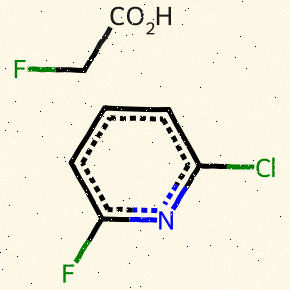 Fc1cccc(Cl)n1.O=C(O)CF